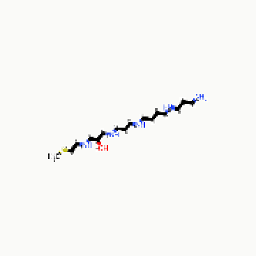 CSCCNCC(O)CNCCCNCCCCNCCCN